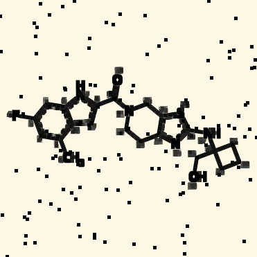 Cc1cc(F)cc2[nH]c(C(=O)N3CCc4nc(NC5(CO)CCC5)sc4C3)cc12